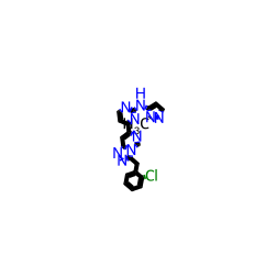 Cn1nccc1Nc1nccc(-c2cc3nnc(Cc4ccccc4Cl)n3cn2)n1